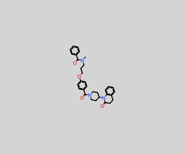 CN(CCCOc1ccc(C(=O)N2CCC(N3C(=O)CCc4ccccc43)CC2)cc1)C(=O)c1ccccc1